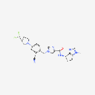 Cn1cnc2c1CC[C@H]2NC(=O)c1cn(Cc2ccc(N3CC4C(C3)C4(F)F)cc2C#N)cn1